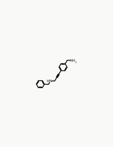 NCc1ccc(C#CCNCc2ccccc2)cc1